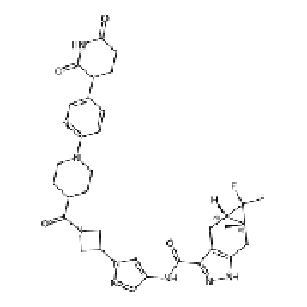 C[C@@]12Cc3[nH]nc(C(=O)Nc4cnn(C5CN(C(=O)C6CCN(c7ccc(C8CCC(=O)NC8=O)cn7)CC6)C5)c4)c3C[C@@H]1C2(F)F